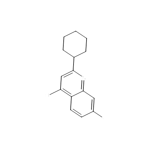 Clc1ccc2c(Cl)cc(C3CCCCC3)nc2c1